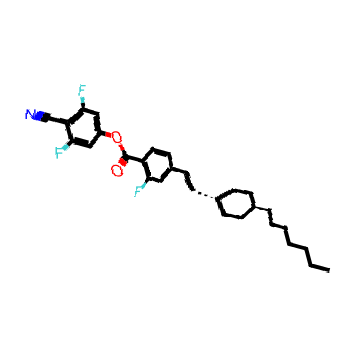 CCCCCCC[C@H]1CC[C@H](CCc2ccc(C(=O)Oc3cc(F)c(C#N)c(F)c3)c(F)c2)CC1